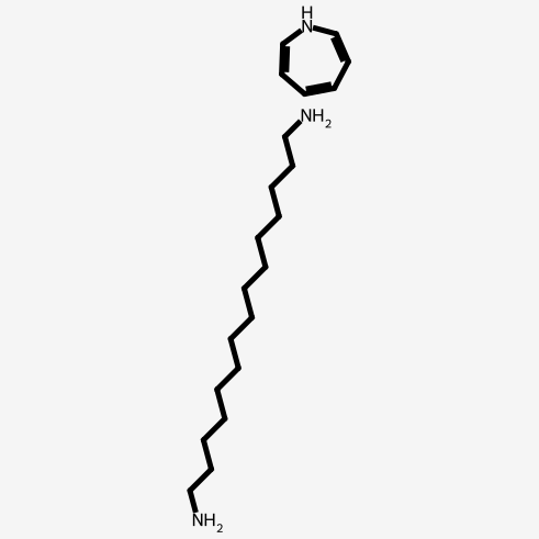 C1=CC=CNC=C1.NCCCCCCCCCCCCCCCN